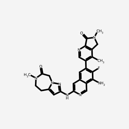 Cc1c(-c2cc3cc(Nc4cc5n(n4)CC(=O)N(C)CC5)ncc3c(N)c2F)cnc2c1CN(C)C2=O